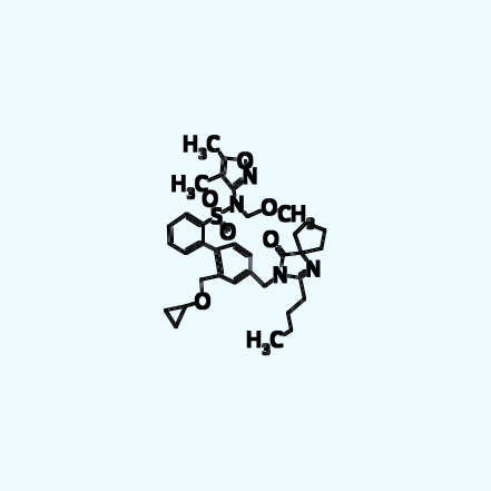 CCCCC1=NC2(CCCC2)C(=O)N1Cc1ccc(-c2ccccc2S(=O)(=O)N(COC)c2noc(C)c2C)c(COC2CC2)c1